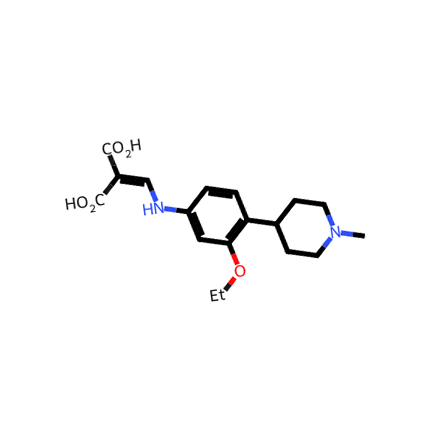 CCOc1cc(NC=C(C(=O)O)C(=O)O)ccc1C1CCN(C)CC1